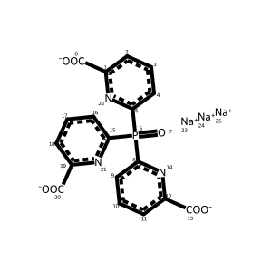 O=C([O-])c1cccc(P(=O)(c2cccc(C(=O)[O-])n2)c2cccc(C(=O)[O-])n2)n1.[Na+].[Na+].[Na+]